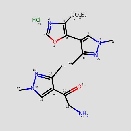 CCOC(=O)c1ncoc1-c1cn(C)nc1C.Cc1nn(C)cc1C(=O)CN.Cl